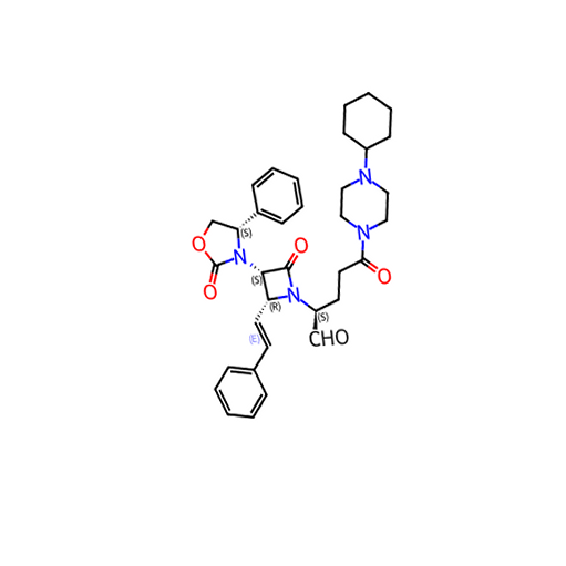 O=C[C@H](CCC(=O)N1CCN(C2CCCCC2)CC1)N1C(=O)[C@@H](N2C(=O)OC[C@@H]2c2ccccc2)[C@H]1/C=C/c1ccccc1